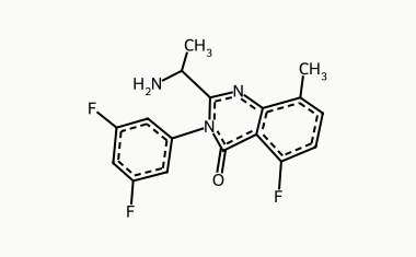 Cc1ccc(F)c2c(=O)n(-c3cc(F)cc(F)c3)c(C(C)N)nc12